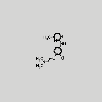 Cc1ccnc(Nc2ccc(OCCN(C)C)c(Cl)c2)n1